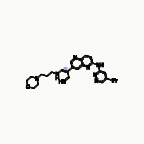 CC(C)c1cnnc(Nc2ccc3ncc(/C(C=N)=C/NCCCN4CCOCC4)cc3n2)c1